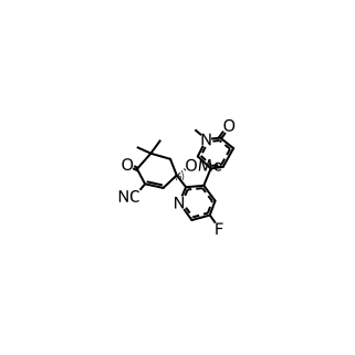 CO[C@]1(c2ncc(F)cc2-c2ccc(=O)n(C)c2)C=C(C#N)C(=O)C(C)(C)C1